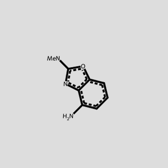 CNc1nc2c(N)cccc2o1